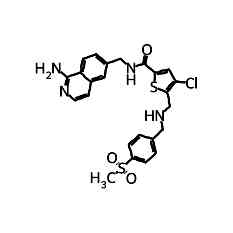 CS(=O)(=O)c1ccc(CNCc2sc(C(=O)NCc3ccc4c(N)nccc4c3)cc2Cl)cc1